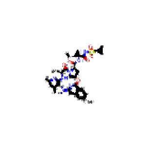 C=C[C@@H]1C[C@]1(NC(=O)[C@@H]1C[C@@H](Oc2nc(N(C)C)cc3cc(OC)ccc23)CN1C(=O)[C@@H](Nc1cc(C)cc(C)n1)C(C)C)C(=O)NS(=O)(=O)C1CC1